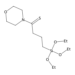 CCO[Si](CCCC(=S)N1CCOCC1)(OCC)OCC